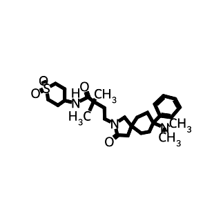 CN(C)C1(c2ccccc2)CCC2(CC1)CC(=O)N(CCC(C)(C)C(=O)NC1CCS(=O)(=O)CC1)C2